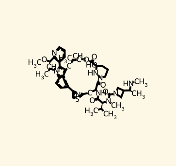 CCn1c(-c2cccnc2[C@H](C)OC)c2c3cc(ccc31)-c1csc(n1)C[C@H](NC(=O)[C@H](C(C)C)N(C)C(=O)N1CC([C@H](C)NC)C1)C(=O)N1CCC[C@@](O)(N1)C(=O)OCC(C)(C)C2